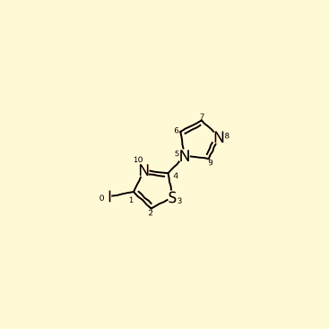 Ic1csc(-n2ccnc2)n1